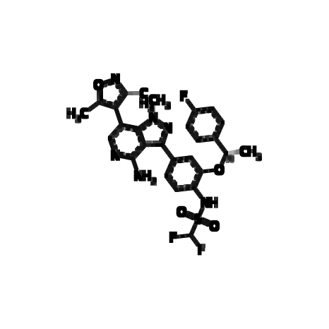 Cc1noc(C)c1-c1cnc(N)c2c(-c3ccc(NS(=O)(=O)C(F)F)c(O[C@@H](C)c4ccc(F)cc4)c3)nn(C)c12